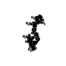 CCOc1cc(N2CCC(C(=O)N3CCC(CN4CCN(Cc5ccc(-n6c(C(=O)NC(C)C(F)(F)F)nnc6-c6cc(CC)c(OC(=O)C(C)C)cc6O)cc5)CC4)CC3)CC2)ccc1Nc1ncc2c(n1)N(S(C)(=O)=O)c1ccccc1C(=O)N2C